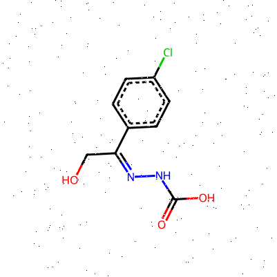 O=C(O)N/N=C(/CO)c1ccc(Cl)cc1